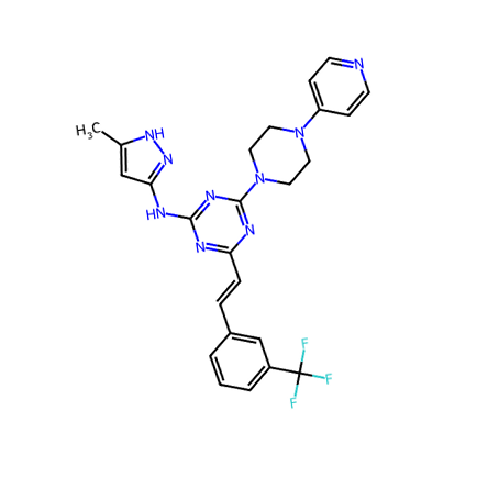 Cc1cc(Nc2nc(/C=C/c3cccc(C(F)(F)F)c3)nc(N3CCN(c4ccncc4)CC3)n2)n[nH]1